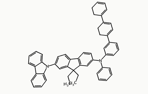 CCC1(CC)c2cc(N(c3ccccc3)c3cccc(C4=CC=C(C5=CC=CCC5)CC4)c3)ccc2-c2ccc(-n3c4ccccc4c4ccccc43)cc21